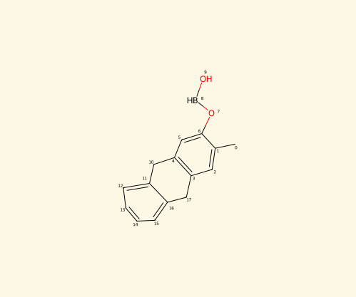 Cc1cc2c(cc1OBO)Cc1ccccc1C2